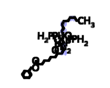 CC/C=C\C/C=C\C=C\C(OP(P)P)C(/C=C/C=C\C(CCCCCC(=O)OCc1ccccc1)OP)OPP